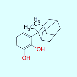 CC12CC3CC(CC(C3)C1(C)c1cccc(O)c1O)C2